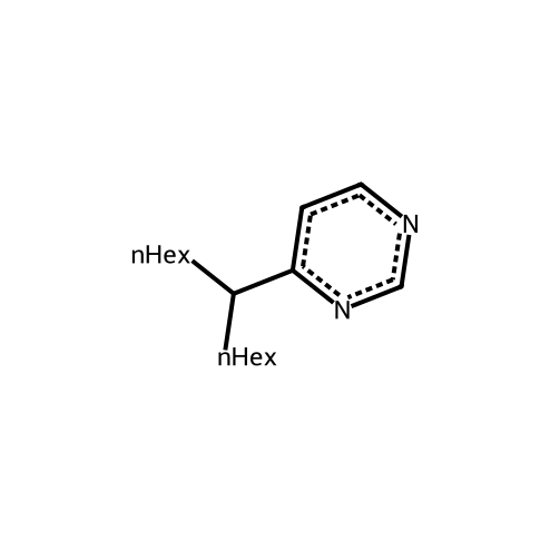 CCCCCCC(CCCCCC)c1ccncn1